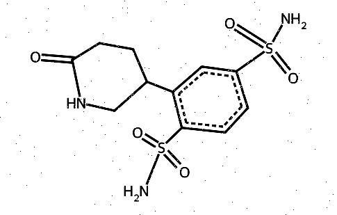 NS(=O)(=O)c1ccc(S(N)(=O)=O)c(C2CCC(=O)NC2)c1